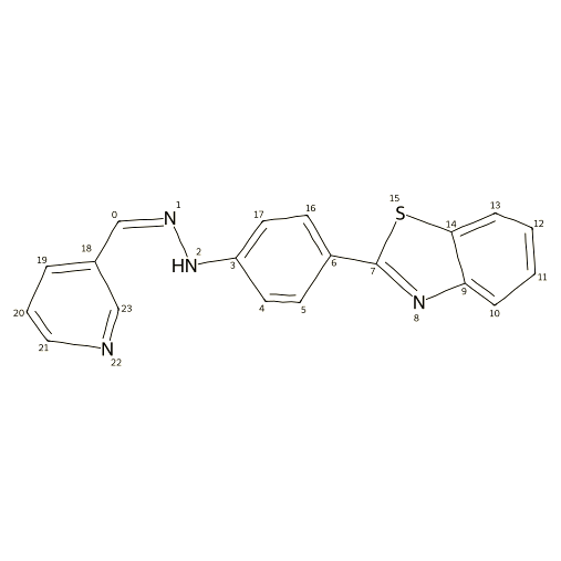 C(=N/Nc1ccc(-c2nc3ccccc3s2)cc1)/c1cccnc1